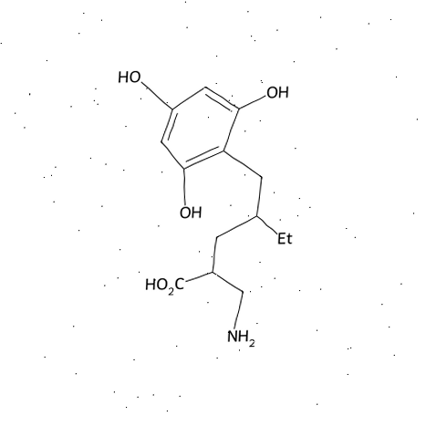 CCC(Cc1c(O)cc(O)cc1O)CC(CN)C(=O)O